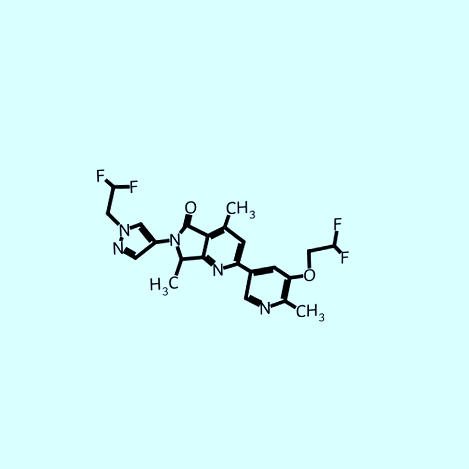 Cc1cc(-c2cnc(C)c(OCC(F)F)c2)nc2c1C(=O)N(c1cnn(CC(F)F)c1)C2C